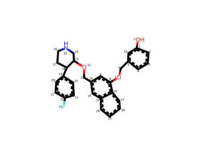 Oc1cccc(COc2cc(COC3CNCCC3c3ccc(F)cc3)cc3ccccc23)c1